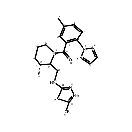 Cc1ccc(-n2nccn2)c(C(=O)N2CCC[C@@H](C)C2CNc2nnc(C(F)(F)F)s2)c1